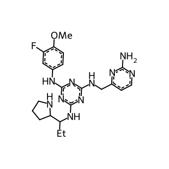 CCC(Nc1nc(NCc2ccnc(N)n2)nc(Nc2ccc(OC)c(F)c2)n1)C1CCCN1